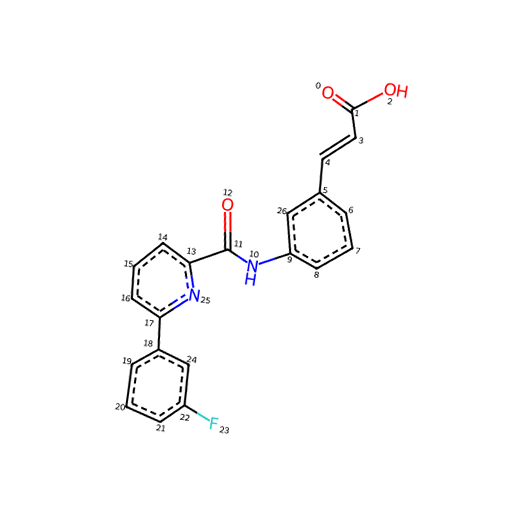 O=C(O)C=Cc1cccc(NC(=O)c2cccc(-c3cccc(F)c3)n2)c1